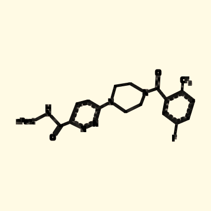 CCCCCNC(=O)c1ccc(N2CCN(C(=O)c3cc(F)ccc3C(F)(F)F)CC2)nn1